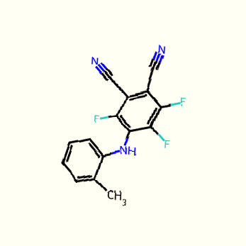 Cc1ccccc1Nc1c(F)c(F)c(C#N)c(C#N)c1F